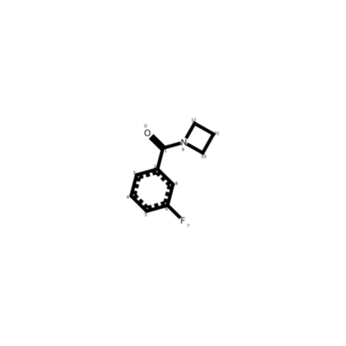 O=C(c1cc[c]c(F)c1)N1CCC1